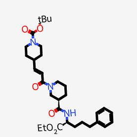 CCOC(=O)[C@H](CCCc1ccccc1)NC(=O)[C@@H]1CCCN(C(=O)/C=C/C2CCN(C(=O)OC(C)(C)C)CC2)C1